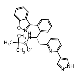 CC(C)(C)[S+]([O-])N[C@@H](Cc1cccc(-c2cn[nH]c2)n1)c1ccccc1-c1noc2ccccc12